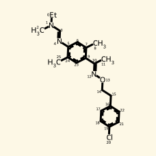 CCN(C)C=Nc1cc(C)c(/C(C)=N/OCCc2ccc(Cl)cc2)cc1C